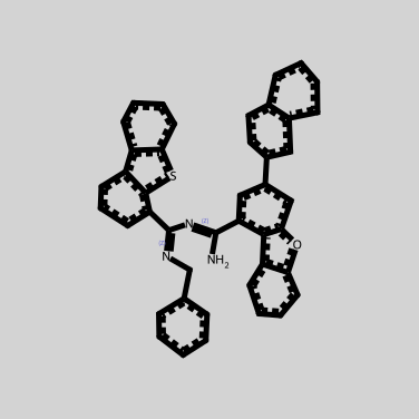 N/C(=N\C(=N/Cc1ccccc1)c1cccc2c1sc1ccccc12)c1cc(-c2ccc3ccccc3c2)cc2oc3ccccc3c12